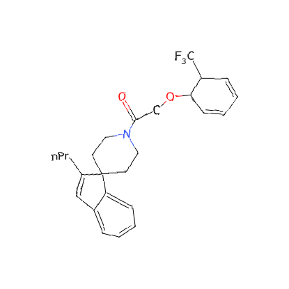 CCCC1=Cc2ccccc2C12CCN(C(=O)COC1C=CC=CC1C(F)(F)F)CC2